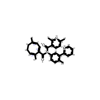 C/C1=C/C=C(C(=O)N(C(=O)c2ccc(C)nc2C)c2ccc(I)c(-c3ccccn3)c2)\C(C)=C/CC1